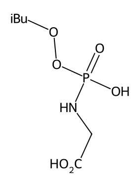 CCC(C)OOP(=O)(O)NCC(=O)O